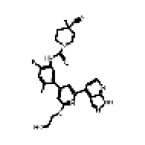 Cc1cc(F)c(NC(=O)N2CCC(C)(C#N)CC2)cc1-c1cc(OCCO)nc(-c2ccnc3[nH]ncc23)c1